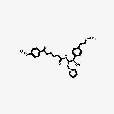 COCCc1ccc([C@@H](O)[C@@H](CN2CCCC2)NC(=O)CCCCC(=O)c2ccc(OC)cc2)cc1